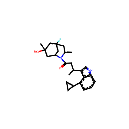 CC(CC(=O)N1C(C)CC2(F)CC1CC(C)(O)C2)c1c[nH]c2cccc(C3CC3)c12